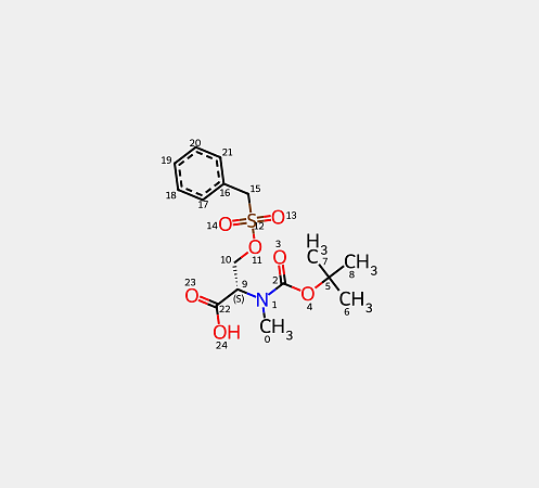 CN(C(=O)OC(C)(C)C)[C@@H](COS(=O)(=O)Cc1ccccc1)C(=O)O